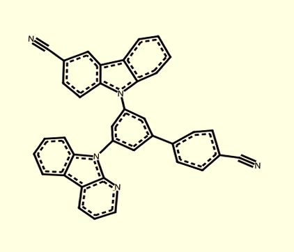 N#Cc1ccc(-c2cc(-n3c4ccccc4c4cc(C#N)ccc43)cc(-n3c4ccccc4c4cccnc43)c2)cc1